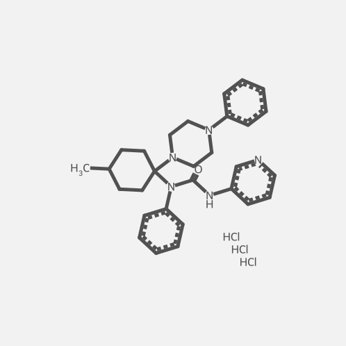 CC1CCC(N2CCN(c3ccccc3)CC2)(N(C(=O)Nc2cccnc2)c2ccccc2)CC1.Cl.Cl.Cl